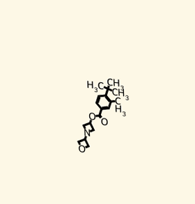 Cc1cc(C(=O)OC2CN(C3COC3)C2)ccc1C(C)(C)C